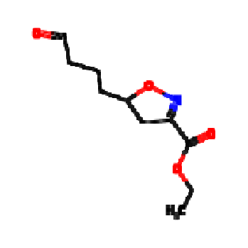 CCOC(=O)C1=NOC(CCCC=O)C1